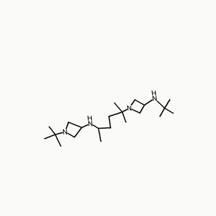 CC(CCC(C)(C)N1CC(NC(C)(C)C)C1)NC1CN(C(C)(C)C)C1